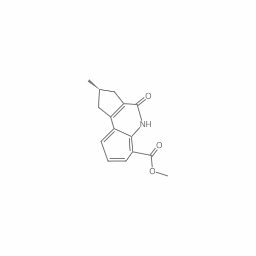 COC(=O)c1cccc2c3c(c(=O)[nH]c12)C[C@H](C)C3